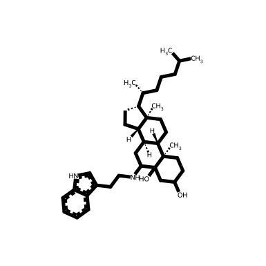 CC(C)CCC[C@@H](C)[C@H]1CC[C@H]2[C@@H]3CC(NCCc4c[nH]c5ccccc45)C4(O)CC(O)CC[C@]4(C)[C@H]3CC[C@]12C